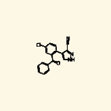 N#Cc1n[nH]cc1-c1ccc(Cl)cc1C(=O)c1ccccc1